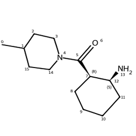 CC1CCN(C(=O)[C@@H]2CCCC[C@@H]2N)CC1